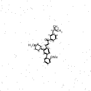 COc1ccccc1-c1ccc(C=CC(=O)c2cccc(CN(C)C)c2)c(N2CCN(C)CC2)c1